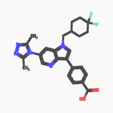 Cc1nnc(C)n1-c1cnc2c(-c3ccc(C(=O)O)cc3)cn(CC3CCC(F)(F)CC3)c2c1